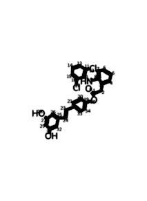 O=C(Cc1ccccc1Nc1c(Cl)cccc1Cl)Oc1ccc(/C=C/c2cc(O)cc(O)c2)cc1